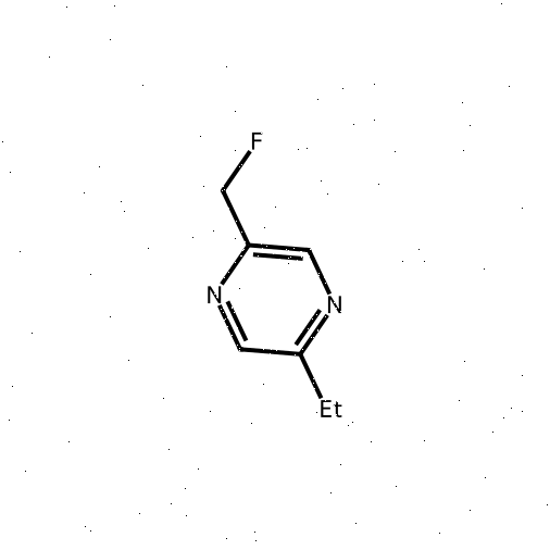 CCc1cnc(CF)cn1